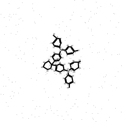 Cc1ccc(N(c2ccc(C)cc2)c2ccc(C3(C4=CCC(N(C5=CCC(C)C=C5)c5ccc(C)cc5)C=C4)CCCCC3)cc2)cc1